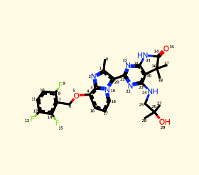 Cc1nc2c(OCc3c(F)ccc(F)c3F)cccn2c1-c1nc(NCC(C)(C)O)c2c(n1)NC(=O)C2(C)C